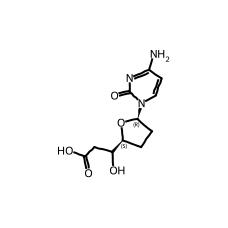 Nc1ccn([C@H]2CC[C@@H](C(O)CC(=O)O)O2)c(=O)n1